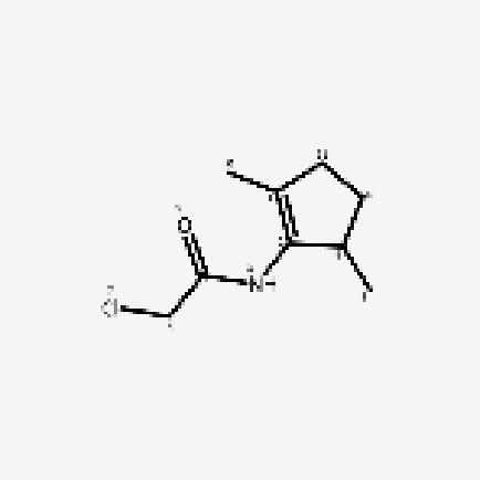 CC1=C(NC(=O)CCl)C(C)CC1